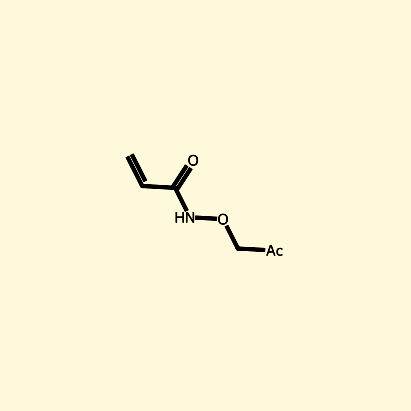 C=CC(=O)NOCC(C)=O